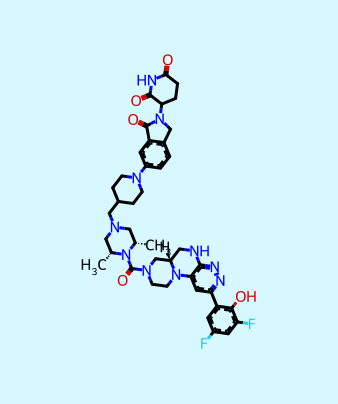 C[C@@H]1CN(CC2CCN(c3ccc4c(c3)C(=O)N(C3CCC(=O)NC3=O)C4)CC2)C[C@H](C)N1C(=O)N1CCN2c3cc(-c4cc(F)cc(F)c4O)nnc3NC[C@H]2C1